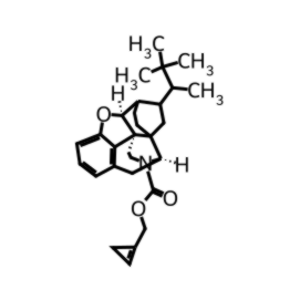 CC(C1CC23CCC1[C@@H]1Oc4cccc5c4[C@@]12CCN(C(=O)OCC1=CC1)[C@@H]3C5)C(C)(C)C